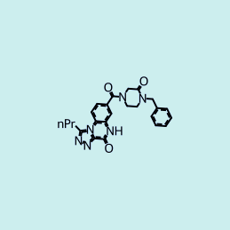 CCCc1nnc2c(=O)[nH]c3cc(C(=O)N4CCN(Cc5ccccc5)C(=O)C4)ccc3n12